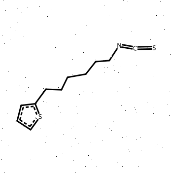 S=C=NCCCCCCc1cccs1